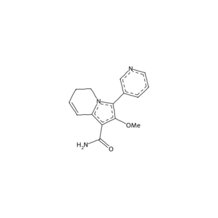 COc1c(C(N)=O)c2n(c1-c1cccnc1)CCC=C2